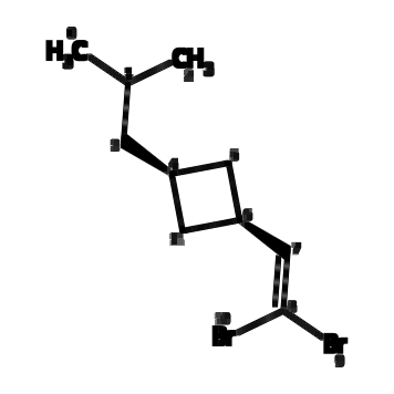 CC(C)C[C@H]1C[C@@H](C=C(Br)Br)C1